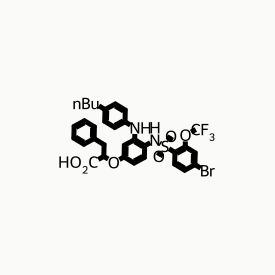 CCCCc1ccc(Nc2cc(OC(Cc3ccccc3)C(=O)O)ccc2NS(=O)(=O)c2ccc(Br)cc2OC(F)(F)F)cc1